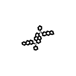 c1ccc(N(c2ccc3cc4ccccc4cc3c2)c2ccc3ccc4c(N(c5ccccc5)c5ccc6cc7ccccc7cc6c5)ccc5ccc2c3c54)cc1